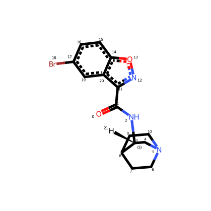 O=C(N[C@@H]1CN2CCC1CC2)c1noc2ccc(Br)cc12